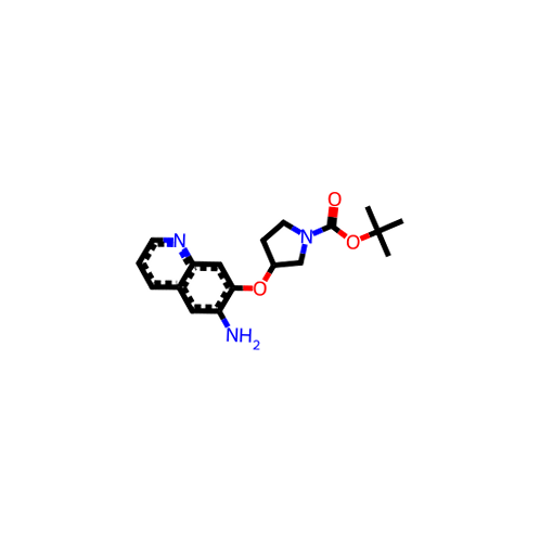 CC(C)(C)OC(=O)N1CCC(Oc2cc3ncccc3cc2N)C1